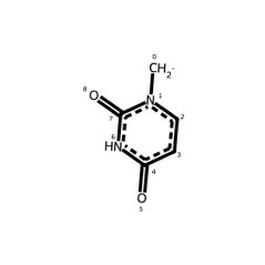 [CH2]n1ccc(=O)[nH]c1=O